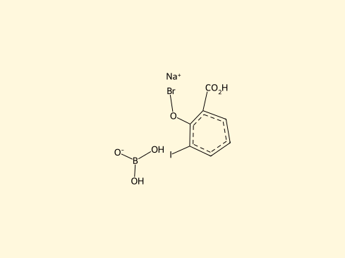 O=C(O)c1cccc(I)c1OBr.[Na+].[O-]B(O)O